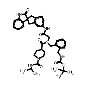 CC(C)NC(=O)N1CCC(C(=O)N(CC(=O)Nc2ccc3c(c2)CC2(C3)C(=O)Nc3ccccc32)Cc2ccccc2CNC(=O)OC(C)(C)C)CC1